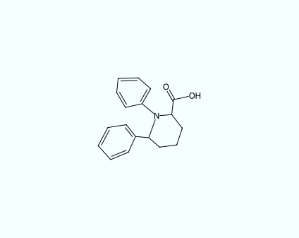 O=C(O)C1CCCC(c2ccccc2)N1c1ccccc1